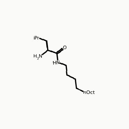 CCCCCCCCCCCCNC(=O)C(N)CC(C)C